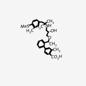 CSc1ccc(CC(C)(C)NC[C@H](O)CO[C@H](C)c2ccccc2-c2ccc(C(=O)O)c(C)c2)cc1C